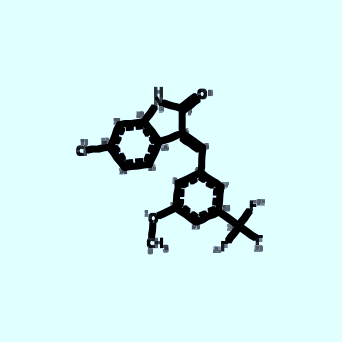 COc1cc(/C=C2/C(=O)Nc3cc(Cl)ccc32)cc(C(F)(F)F)c1